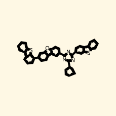 c1ccc(-c2nc(-c3ccc4c(c3)sc3ccccc34)nc(-c3ccc4oc5cc(-c6cccc7c6sc6ccccc67)ccc5c4c3)n2)cc1